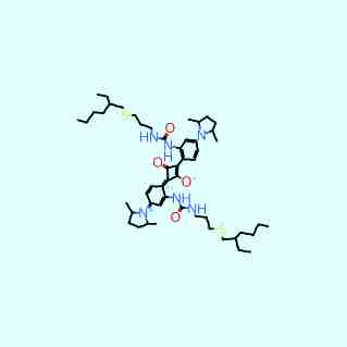 CCCCC(CC)CSCCCNC(=O)NC1=CC(=[N+]2C(C)CCC2C)C=C/C1=C1\C(=O)C(c2ccc(N3C(C)CCC3C)cc2NC(=O)NCCCSCC(CC)CCCC)=C1[O-]